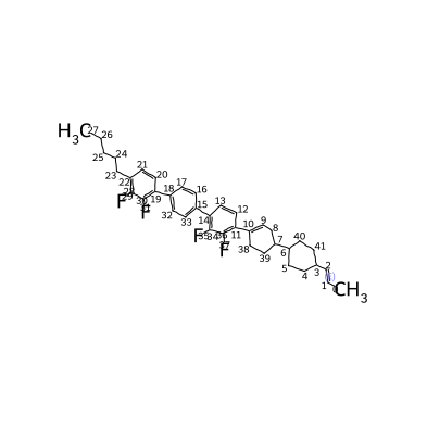 C/C=C/C1CCC(C2CC=C(c3ccc(-c4ccc(-c5ccc(CCCCC)c(F)c5F)cc4)c(F)c3F)CC2)CC1